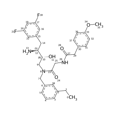 CCc1cccc(CN(C[C@@H](O)[C@@H](N)Cc2cc(F)cc(F)c2)C(=O)CNC(=O)Cc2ccc(OC)cc2)c1